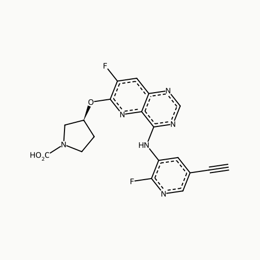 C#Cc1cnc(F)c(Nc2ncnc3cc(F)c(O[C@H]4CCN(C(=O)O)C4)nc23)c1